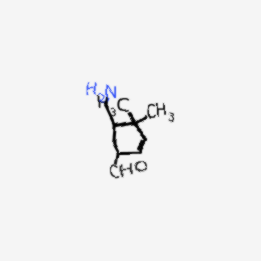 CC1(C)C=CC(C=O)CC1CN